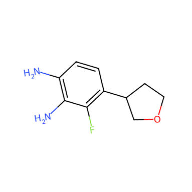 Nc1ccc(C2CCOC2)c(F)c1N